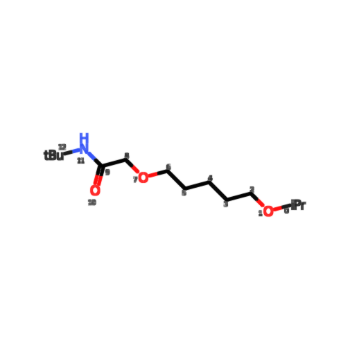 CC(C)OCCCCCOCC(=O)NC(C)(C)C